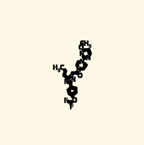 CCCc1nc(-c2ccc(OC(F)F)cc2)nn1CC(=O)N1CCN(c2nccc(OC)n2)CC1